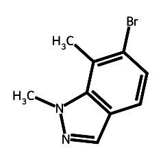 Cc1c(Br)ccc2cnn(C)c12